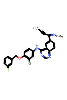 CC#C/C(=N/OC)c1ccc2ncnc(Nc3ccc(OCc4cccc(F)c4)c(Cl)c3)c2c1